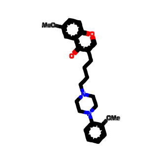 COc1ccc2occ(CCCCN3CCN(c4ccccc4OC)CC3)c(=O)c2c1